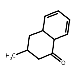 CC1CC(=O)C2C=CC=CC2C1